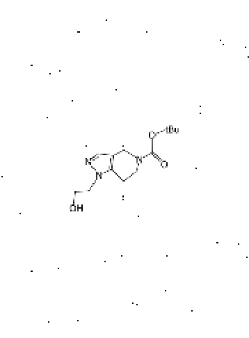 CC(C)(C)OC(=O)N1CCc2c(cnn2CCO)C1